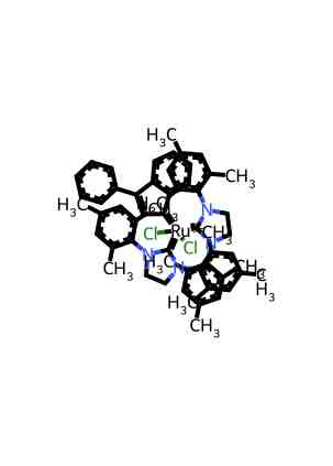 Cc1cc(C)c(N2CCN(c3c(C)cc(C)cc3C)[C]2=[Ru-6]([Cl])([Cl])(=[C]2C=C(c3ccccc3)c3ccccc32)=[C]2N(c3c(C)cc(C)cc3C)CCN2c2c(C)cc(C)cc2C)c(C)c1